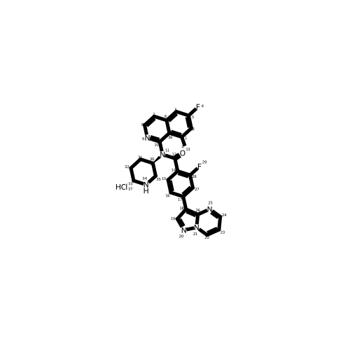 Cc1cc(F)cc2ccnc(N(C(=O)c3ccc(-c4cnn5cccnc45)cc3F)[C@@H]3CCCNC3)c12.Cl